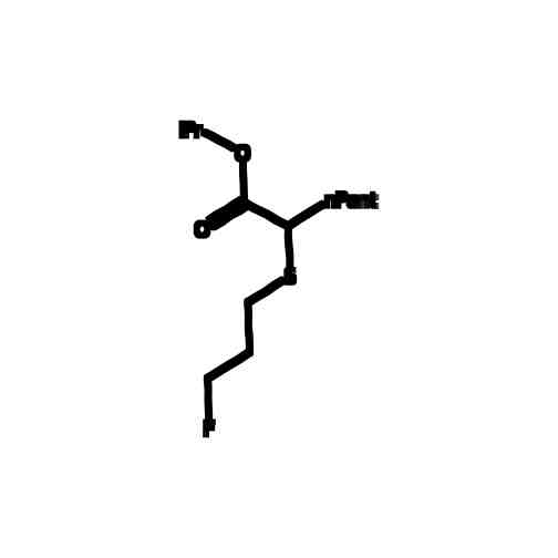 CCCCCC(SCCCF)C(=O)OC(C)C